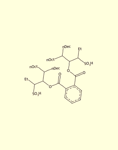 CCCCCCCCCCC(CCCCCCCC)C(OC(=O)c1ccccc1C(=O)OC(C(CCCCCCCC)CCCCCCCCCC)C(CC)S(=O)(=O)O)C(CC)S(=O)(=O)O